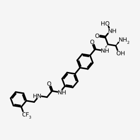 N[C@@H](O)[C@H](NC(=O)c1ccc(-c2ccc(NC(=O)CNCc3ccccc3C(F)(F)F)cc2)cc1)C(=O)NO